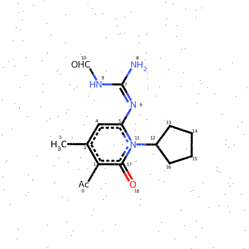 CC(=O)c1c(C)cc(/N=C(/N)NC=O)n(C2CCCC2)c1=O